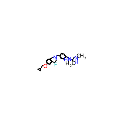 C=C(CNC)NCc1ccc(CN2Cc3ccc(OCC4CC4)cc3C(F)C2)cc1